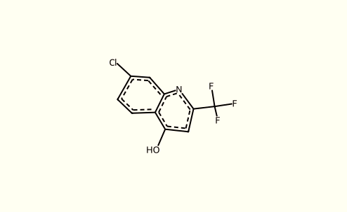 Oc1cc(C(F)(F)F)nc2cc(Cl)ccc12